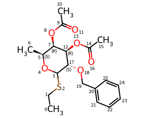 CCSC1O[C@@H](C)[C@@H](OC(C)=O)[C@@H](OC(C)=O)[C@@H]1OCc1ccccc1